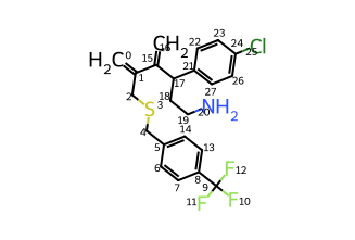 C=C(CSCc1ccc(C(F)(F)F)cc1)C(=C)C(CCN)c1ccc(Cl)cc1